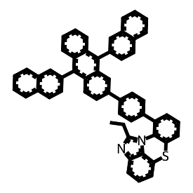 CCc1nc2cccc3c2n1-c1c(cccc1-c1ccc(-c2ccc4c(-c5ccc6ccccc6c5)c5ccccc5c(-c5ccc6ccccc6c5)c4c2)cc1)S3